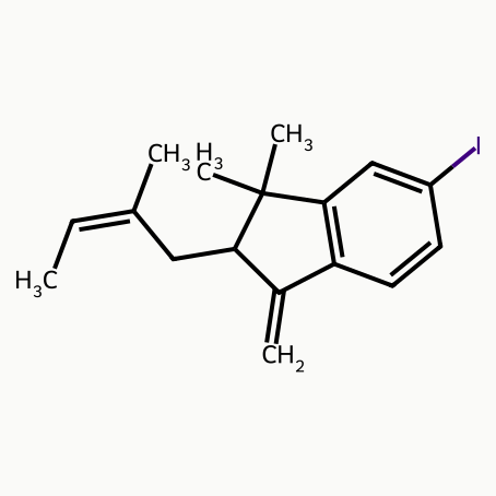 C=C1c2ccc(I)cc2C(C)(C)C1C/C(C)=C\C